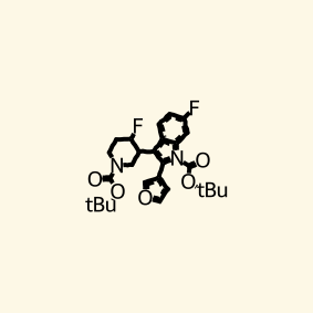 CC(C)(C)OC(=O)N1CCC(F)C(c2c(-c3ccoc3)n(C(=O)OC(C)(C)C)c3cc(F)ccc23)C1